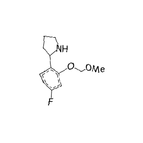 COCOc1cc(F)ccc1C1CCCN1